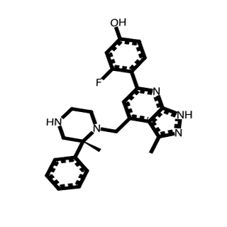 Cc1n[nH]c2nc(-c3ccc(O)cc3F)cc(CN3CCNC[C@@]3(C)c3ccccc3)c12